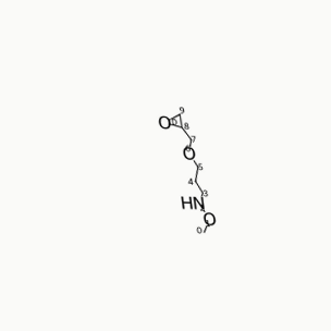 CONCCCOCC1CO1